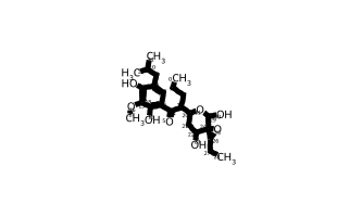 CCCC(C(=O)c1cc(CC(C)C)c(O)c(OC)c1O)C1CC(O)C2(OC2CC)C(O)O1